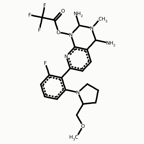 COCC1CCCN1c1cccc(F)c1-c1ccc2c(n1)N(OC(=O)C(F)(F)F)C(N)N(C)C2N